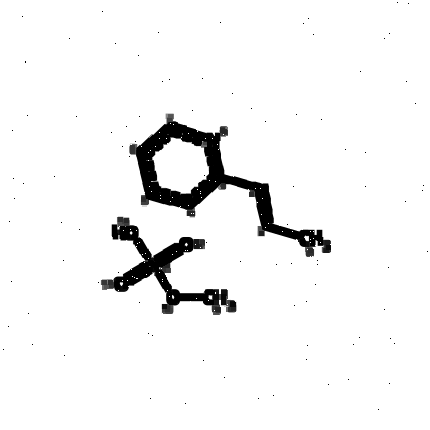 CC=Cc1ccccn1.COS(=O)(=O)O